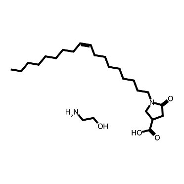 CCCCCCCC/C=C\CCCCCCCCN1CC(C(=O)O)CC1=O.NCCO